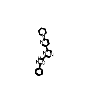 c1ccc(-c2nnc(-c3cncc(-c4ccc(N5CCCCC5)nc4)n3)o2)cc1